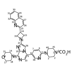 O=C(O)N1CCN(c2ccc(-c3cnc(N4CCOCC4)c4nc(N5CC(c6ccc7ccccc7n6)C5)cn34)cn2)CC1